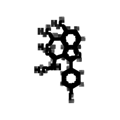 CNC(=O)c1c(-c2ccc(F)cc2)oc2ccc(C)c(C(C)C)c12